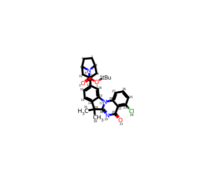 CC(C)(C)OC(=O)N1C2CCC1CC(c1ccc3c(c1)-n1c(nc(=O)c4c(Cl)cccc41)C3(C)C)C2